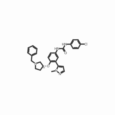 Cn1nccc1-c1cc(NC(=O)Nc2ccc(Cl)cc2)ccc1O[C@@H]1CCN(Cc2ccccc2)C1